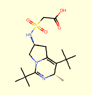 C[C@@H]1N=C(C(C)(C)C)N2C[C@@H](NS(=O)(=O)CC(=O)O)CC2=C1C(C)(C)C